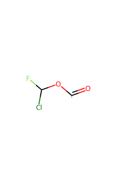 O=[C]OC(F)Cl